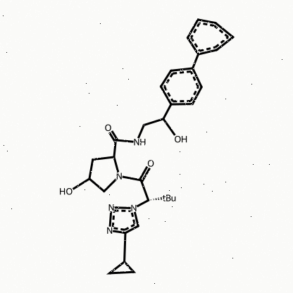 CC(C)(C)[C@@H](C(=O)N1CC(O)CC1C(=O)NCC(O)c1ccc(-c2ccccc2)cc1)n1cc(C2CC2)nn1